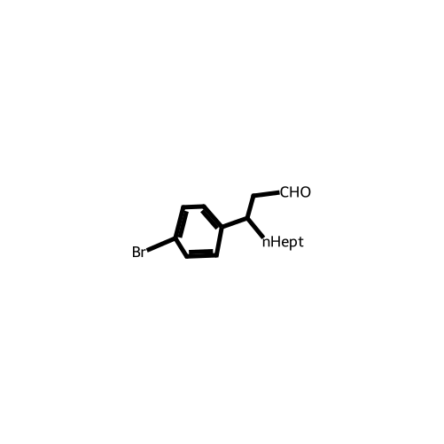 CCCCCCCC(CC=O)c1ccc(Br)cc1